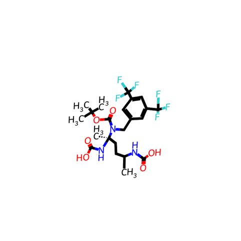 CC(CC[C@@](C)(NC(=O)O)N(Cc1cc(C(F)(F)F)cc(C(F)(F)F)c1)C(=O)OC(C)(C)C)NC(=O)O